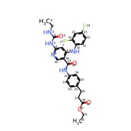 CCNC(=O)Nc1cc(Nc2ccc(F)cc2F)c(C(=O)Nc2ccc(CCC(=O)OCC)cc2)cn1